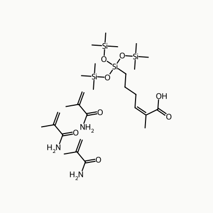 C=C(C)C(N)=O.C=C(C)C(N)=O.C=C(C)C(N)=O.CC(=CCCC[Si](O[Si](C)(C)C)(O[Si](C)(C)C)O[Si](C)(C)C)C(=O)O